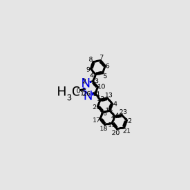 Cc1nc(-c2ccccc2)cc(-c2ccc3c(ccc4ccccc43)c2)n1